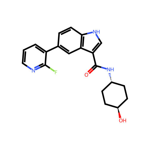 O=C(N[C@H]1CC[C@H](O)CC1)c1c[nH]c2ccc(-c3cccnc3F)cc12